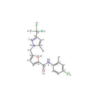 Cc1cc(Cl)ccc1NC(=O)c1ccc(Cn2nc(C(F)(F)F)cc2C)o1